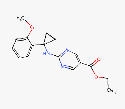 CCOC(=O)c1cnc(NC2(c3ccccc3OC)CC2)nc1